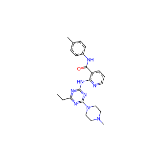 CCc1nc(Nc2ncccc2C(=O)Nc2ccc(C)cc2)nc(N2CCN(C)CC2)n1